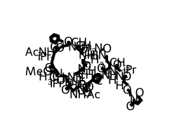 C=C1C(=O)N[C@@H](C)C(=O)N(C)[C@@H](C)C(=O)N[C@@H]([C@H](OC(=O)[C@@H](NC(C)=O)[C@H](OP(=O)(O)OCc2ccc(NC(=O)[C@@H](NC(=O)[C@@H](NC(=O)CCOCCN3C(=O)C=CC3=O)C(C)C)C(C)CCNC(N)=O)cc2)C(C)C)C(C)C)C(=O)N(C)[C@@H]([C@@H](C)OC)C(=O)C[C@H](C(C)C)[C@H](NC(C)=O)C(=O)O[C@H](Cc2ccccc2)C(=O)N1C